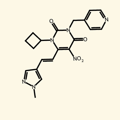 Cn1cc(C=Cc2c([N+](=O)[O-])c(=O)n(Cc3ccncc3)c(=O)n2C2CCC2)cn1